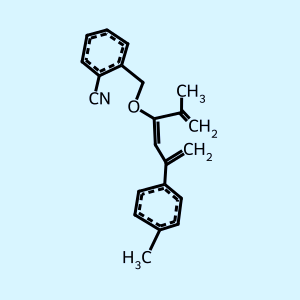 C=C(C)/C(=C\C(=C)c1ccc(C)cc1)OCc1ccccc1C#N